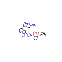 C=CC(=O)N1CCCC1C(=O)N1CCC(c2cc3c(-c4cn[nH]c4/C=C\C=N)ccnc3[nH]2)C1